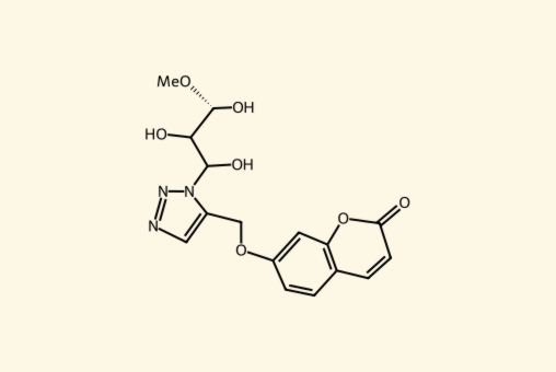 CO[C@H](O)C(O)C(O)n1nncc1COc1ccc2ccc(=O)oc2c1